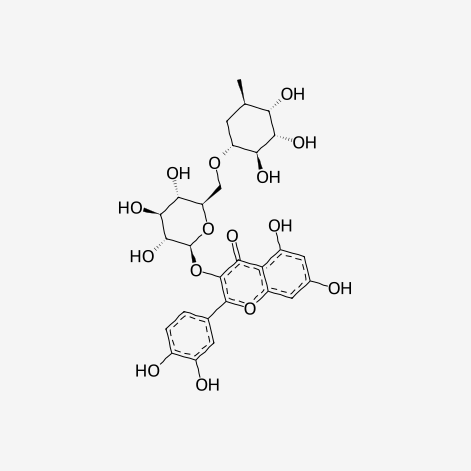 C[C@@H]1C[C@@H](OC[C@H]2O[C@@H](Oc3c(-c4ccc(O)c(O)c4)oc4cc(O)cc(O)c4c3=O)[C@H](O)[C@@H](O)[C@@H]2O)[C@H](O)[C@@H](O)[C@H]1O